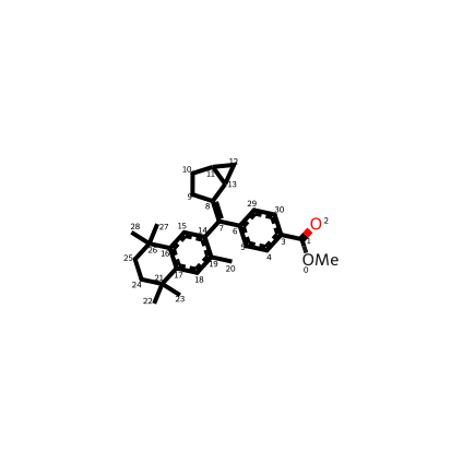 COC(=O)c1ccc(C(=C2CCC3CC23)c2cc3c(cc2C)C(C)(C)CCC3(C)C)cc1